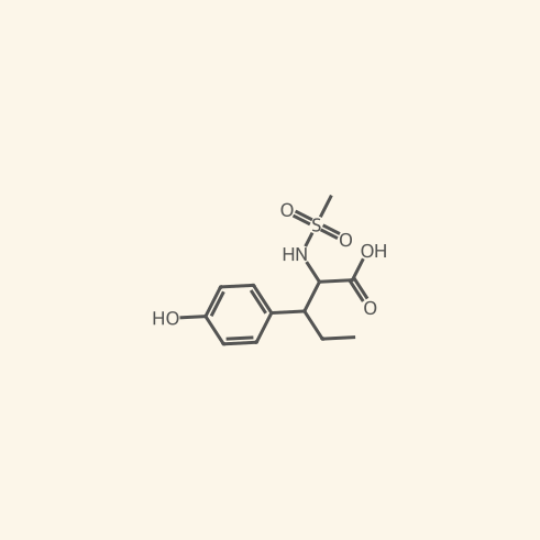 CCC(c1ccc(O)cc1)C(NS(C)(=O)=O)C(=O)O